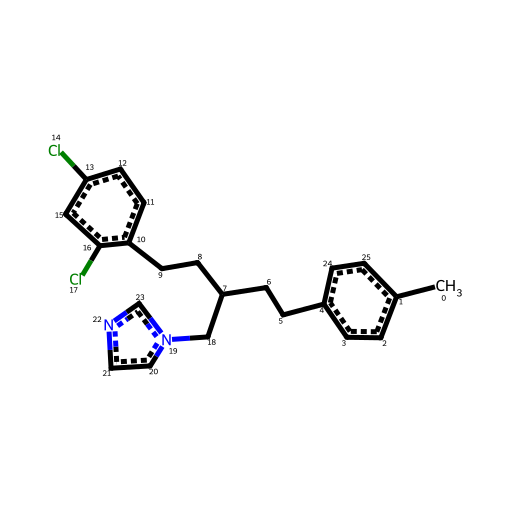 Cc1ccc(CCC(CCc2ccc(Cl)cc2Cl)Cn2ccnc2)cc1